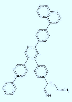 C=C/C=C(\C=N)c1ccc(-c2nc(-c3ccc(-c4cccc5ccccc45)cc3)ncc2-c2ccc(-c3ccccc3)cc2)cc1